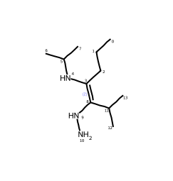 CCC/C(NC(C)C)=C(/NN)C(C)C